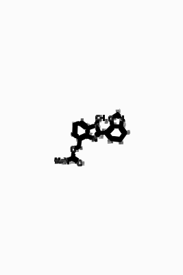 CNC(=O)OCc1cccc2c1nc(-c1cccc3ncoc13)n2C